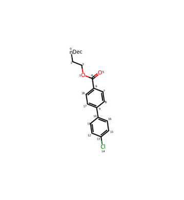 CCCCCCCCCCCCOC(=O)c1ccc(-c2ccc(Cl)cc2)cc1